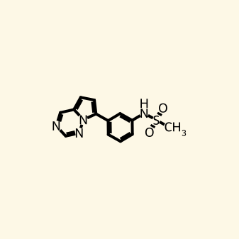 CS(=O)(=O)Nc1cccc(-c2ccc3cncnn23)c1